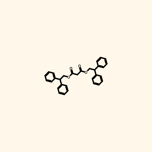 O=C(CC(=O)OCC(c1ccccc1)c1ccccc1)OCC(c1ccccc1)c1ccccc1